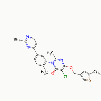 Cc1cc(COc2nc(C)n(-c3cc(-c4ccnc(C(C)(C)C)n4)ccc3C)c(=O)c2Cl)cs1